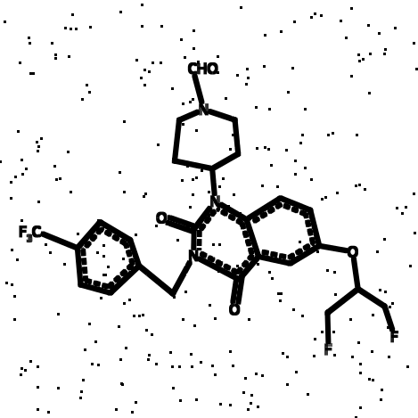 O=CN1CCC(n2c(=O)n(Cc3ccc(C(F)(F)F)cc3)c(=O)c3cc(OC(CF)CF)ccc32)CC1